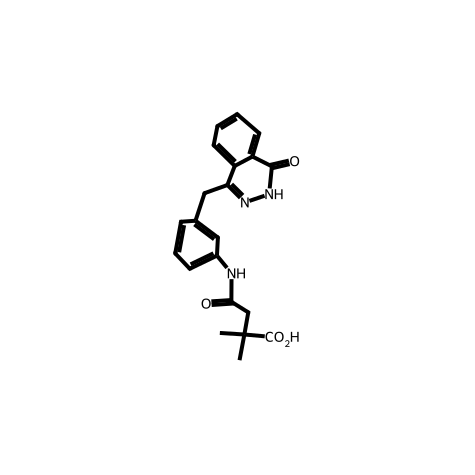 CC(C)(CC(=O)Nc1cccc(Cc2n[nH]c(=O)c3ccccc23)c1)C(=O)O